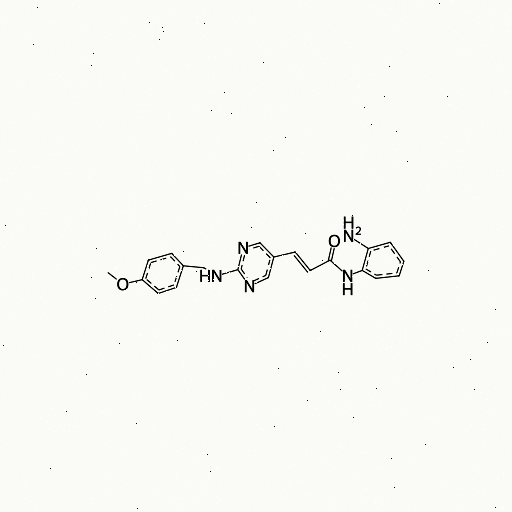 COc1ccc(CNc2ncc(/C=C/C(=O)Nc3ccccc3N)cn2)cc1